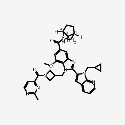 COc1cc(C(=O)N2C[C@H]3CC[C@@H]2[C@@H]3N)cc2nc(-c3cc4cccnc4n3CC3CC3)n(CC3CN(C(=O)c4ccnc(C)n4)C3)c12